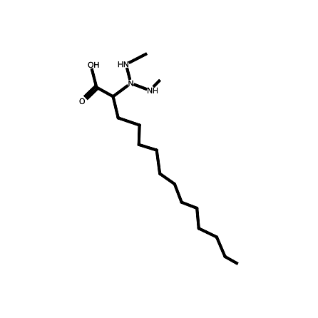 CCCCCCCCCCCCC(C(=O)O)N(NC)NC